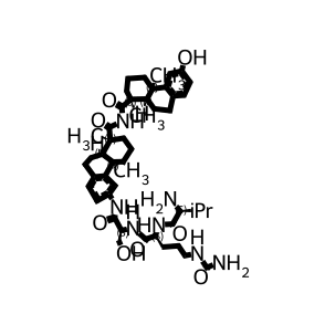 CC(C)[C@H](N)C(=O)N[C@@H](CCCNC(N)=O)C(=O)N[C@@H](CO)C(=O)Nc1ccc2c(c1)[C@@]1(C)CCC[C@](C)(C(=O)NC(=O)[C@@]3(C)CCC[C@]4(C)c5cc(O)ccc5CC[C@@H]34)[C@@H]1CC2